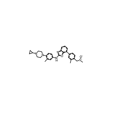 Cc1cc(-c2cccc3nc(Nc4ccc(N5CCN(C6CC6)CC5)c(C)c4)oc23)ccc1C[S+](C)[O-]